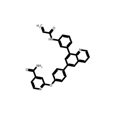 C=CC(=O)Nc1cccc(-c2cc(-c3ccc(Oc4cc(C(N)=O)ccn4)cc3)cc3cccnc23)c1